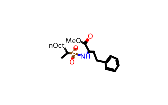 CCCCCCCCC(C)S(=O)(=O)NC(CCc1ccccc1)C(=O)OC